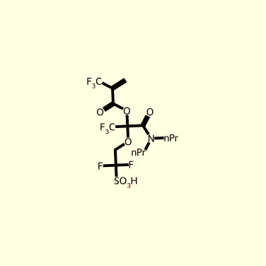 C=C(C(=O)OC(OCC(F)(F)S(=O)(=O)O)(C(=O)N(CCC)CCC)C(F)(F)F)C(F)(F)F